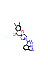 Cc1cc2c(cc1C)C(=O)CC1(CCN(C(=O)c3cccc4cn[nH]c34)CC1)O2